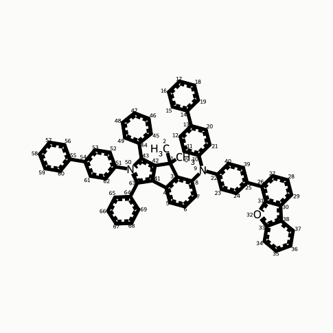 CC1(C)c2c(cccc2N(c2ccc(-c3ccccc3)cc2)c2ccc(-c3cccc4c3oc3ccccc34)cc2)-c2c1c(-c1ccccc1)n(-c1ccc(-c3ccccc3)cc1)c2-c1ccccc1